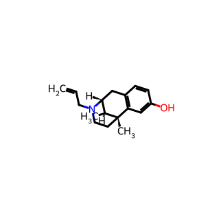 C=CCN1CC[C@@]2(C)c3cc(O)ccc3C[C@@H]1[C@@H]2C